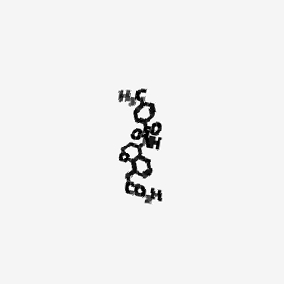 Cc1ccc(S(=O)(=O)NC2CCOc3c(CC(=O)O)cccc32)cc1